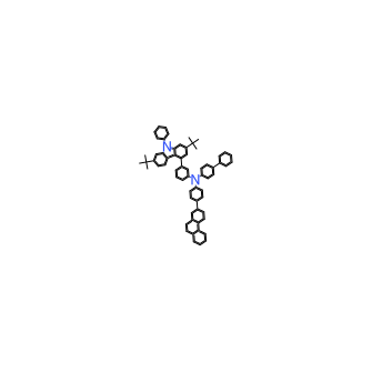 CC(C)(C)c1ccc2c3c(-c4cccc(N(c5ccc(-c6ccccc6)cc5)c5ccc(-c6ccc7c(ccc8ccccc87)c6)cc5)c4)cc(C(C)(C)C)cc3n(-c3ccccc3)c2c1